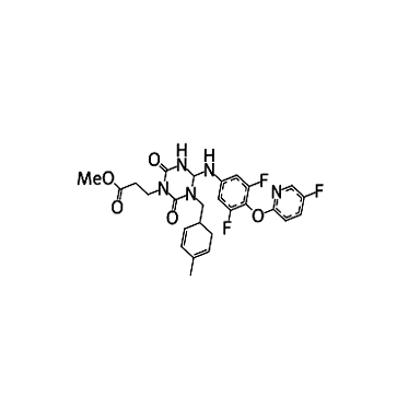 COC(=O)CCN1C(=O)NC(Nc2cc(F)c(Oc3ccc(F)cn3)c(F)c2)N(CC2C=CC(C)=CC2)C1=O